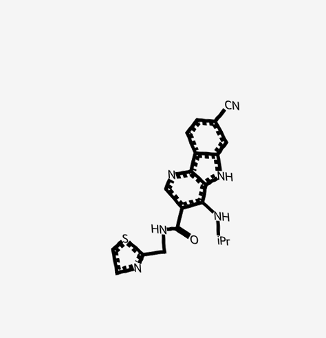 CC(C)Nc1c(C(=O)NCc2nccs2)cnc2c1[nH]c1cc(C#N)ccc12